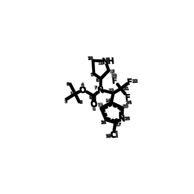 CC(C)(C)OC(=O)N(C1CCNC1)C(c1ccc(Cl)nc1)C(F)(F)F